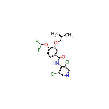 C=C(C)COc1cc(C(=O)Nc2c(Cl)cncc2Cl)ccc1OC(F)F